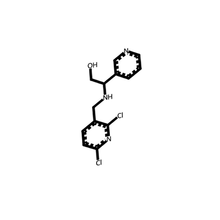 OCC(NCc1ccc(Cl)nc1Cl)c1cccnc1